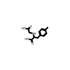 Cc1ccc(CC(NCC(=O)O)C(=O)O)cc1